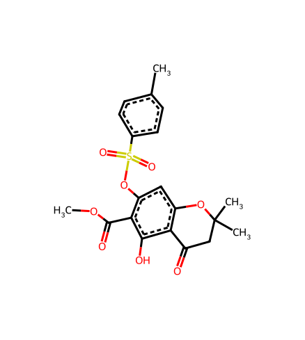 COC(=O)c1c(OS(=O)(=O)c2ccc(C)cc2)cc2c(c1O)C(=O)CC(C)(C)O2